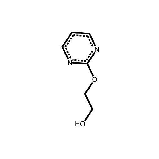 OCCOc1n[c]ccn1